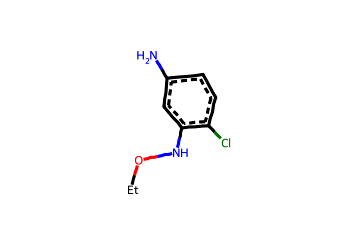 CCONc1cc(N)ccc1Cl